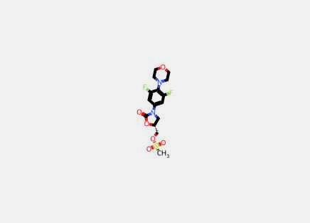 CS(=O)(=O)OC[C@H]1CN(c2cc(F)c(N3CCOCC3)c(F)c2)C(=O)O1